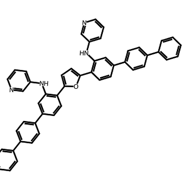 c1ccc(-c2ccc(-c3ccc(-c4ccc(-c5ccc(-c6ccc(-c7ccccc7)cc6)cc5Nc5cccnc5)o4)c(Nc4cccnc4)c3)cc2)cc1